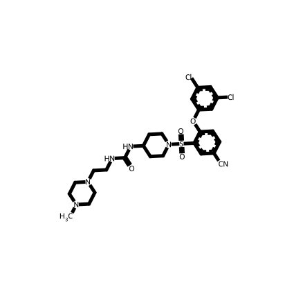 CN1CCN(CCNC(=O)NC2CCN(S(=O)(=O)c3cc(C#N)ccc3Oc3cc(Cl)cc(Cl)c3)CC2)CC1